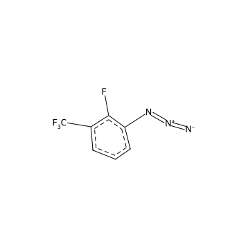 [N-]=[N+]=Nc1cccc(C(F)(F)F)c1F